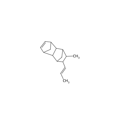 CC=CC1C(C)C2CC1C1C3C=CC(C3)C21